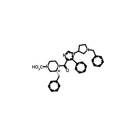 O=C(O)N1CCN(C(=O)c2ncn(C3CCN(Cc4ccccc4)C3)c2-c2ccccc2)[C@H](Cc2ccccc2)C1